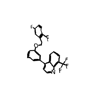 Fc1ccc(F)c(COc2cccc(-c3ccnc4c(C(F)(F)F)cccc34)c2)c1